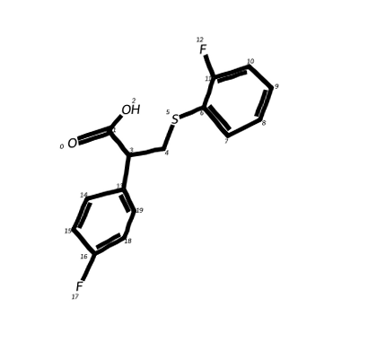 O=C(O)C(CSc1ccccc1F)c1ccc(F)cc1